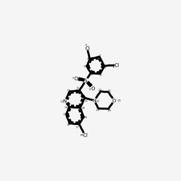 O=S(=O)(c1cc(Cl)cc(Cl)c1)c1cnc2ccc(Cl)cc2c1N1CCOCC1